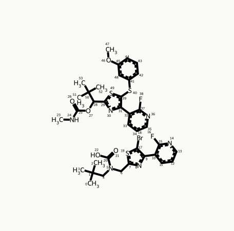 CC(C)(C)CN(Cc1nc(-c2cccnc2F)c(Br)s1)C(=O)O.CNC(=O)OC(c1nc(-c2cccnc2F)c(Sc2cccc(OC)c2)s1)C(C)(C)C